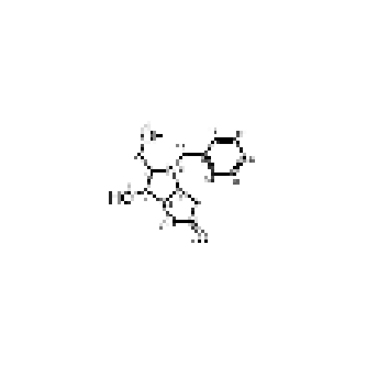 O=C1CC2C(O1)C(O)C(CO)N2Cc1ccccc1